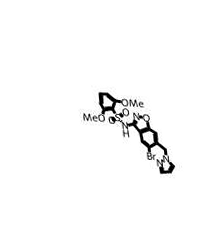 COc1cccc(OC)c1S(=O)(=O)Nc1noc2cc(Cn3cccn3)c(Br)cc12